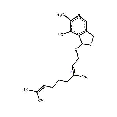 CC(C)=CCCC/C(C)=C/COC1OCc2cnc(C)c(O)c21